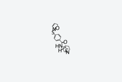 O=C(N[C@H]1CN2CCC1CC2)c1ccc(SN2C=CCO2)cc1